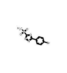 CS(=O)(=O)c1nnc(-c2ccc(Br)cc2)o1